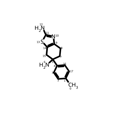 Cc1ccc(C2(N)CCc3nc(N)sc3C2)cc1